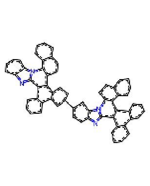 c1ccc2c(c1)ccc1c2c2c3ccccc3c3ccccc3c2c2nc3ccc(-c4ccc5c(c4)c4ccccc4c4c5c5ccc6ccccc6c5n5c6ccccc6nc45)cc3n12